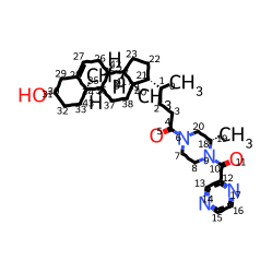 CC(CCC(=O)N1CCN(C(=O)c2cnccn2)[C@@H](C)C1)[C@H]1CC[C@H]2[C@@H]3CC=C4C[C@@H](O)CC[C@]4(C)[C@H]3CC[C@]12C